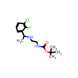 CC(NCCNC(=O)OC(C)(C)C)c1cccc(Cl)c1F